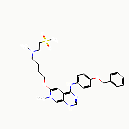 CON1C=C2NC=NC(Nc3ccc(OCc4ccccc4)cc3)=C2C=C1OCCCCN(C)CCS(C)(=O)=O